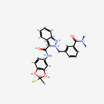 CN(C)C(=O)c1cccc(Cn2nc3ccccc3c2C(=O)Nc2ccc3c(c2)OC(C)(F)O3)c1